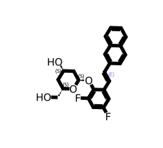 OC[C@@H]1C[C@H](O)C[C@H](Oc2c(F)cc(F)cc2/C=C/c2ccc3ccccc3c2)O1